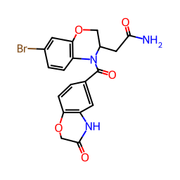 NC(=O)CC1COc2cc(Br)ccc2N1C(=O)c1ccc2c(c1)NC(=O)CO2